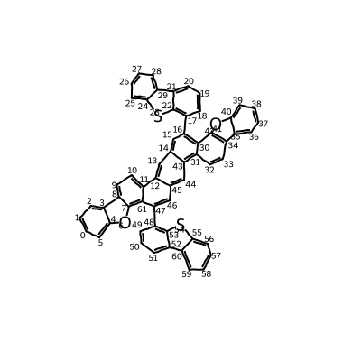 c1ccc2c(c1)oc1c2ccc2c3cc4cc(-c5cccc6c5sc5ccccc56)c5c(ccc6c7ccccc7oc65)c4cc3cc(-c3cccc4c3sc3ccccc34)c21